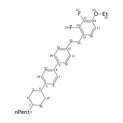 CCCCCC1CCC(c2ccc(-c3ccc(CCc4ccc(OCC)c(F)c4F)cc3)cc2)CC1